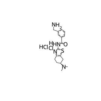 CN(C)[C@H]1CCc2nc(NC(=O)c3cccc(CN)c3)sc2C1.Cl.Cl